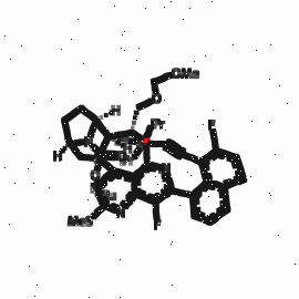 COCOC[C@@H]1Oc2nc(-c3cccc4ccc(F)c(C#C[Si](C(C)C)(C(C)C)C(C)C)c34)c(F)c3nc(SC)nc(c23)N2C[C@H]3CC[C@@H]([C@@H]12)N3C(=O)OC(C)(C)C